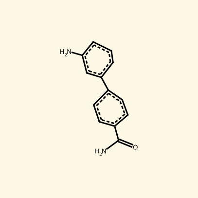 NC(=O)c1ccc(-c2cccc(N)c2)cc1